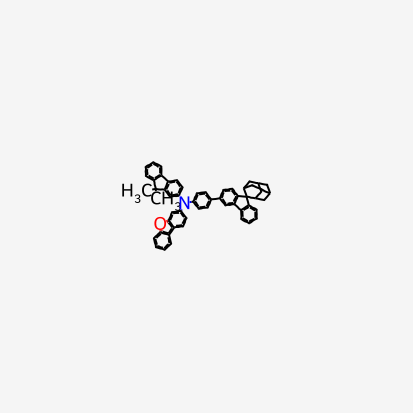 CC1(C)c2ccccc2-c2ccc(N(c3ccc(-c4ccc5c(c4)-c4ccccc4C54C5CC6CC(C5)CC4C6)cc3)c3ccc4c(c3)oc3ccccc34)cc21